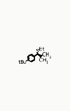 CCSC(=C(C)C)c1ccc(C(C)(C)C)cc1